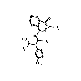 CC(Nc1nn(C)c(=O)c2cccnc12)C(c1cn(C)nn1)N(C)C